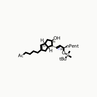 CCCCC[C@H](/C=C/[C@@H]1[C@H]2CC(CCCCC(C)=O)=C[C@H]2C[C@H]1O)O[Si](C)(C)C(C)(C)C